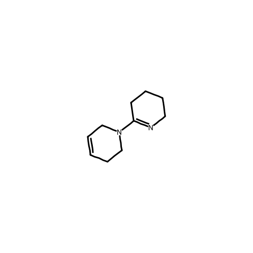 C1=CCN(C2=NCCCC2)CC1